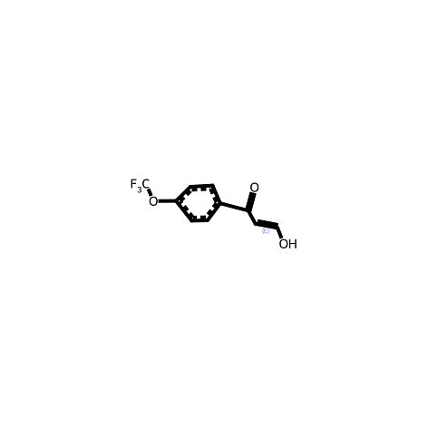 O=C(/C=C/O)c1ccc(OC(F)(F)F)cc1